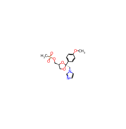 COc1ccc([C@@]2(Cn3ccnc3)OC[C@@H](COS(C)(=O)=O)O2)cc1